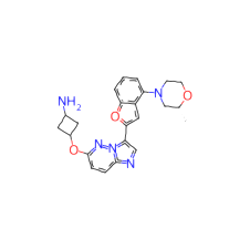 C[C@@H]1CN(c2cccc3oc(-c4cnc5ccc(OC6CC(N)C6)nn45)cc23)CCO1